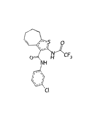 O=C(Nc1cccc(Cl)c1)c1c(NC(=O)C(F)(F)F)sc2c1C=CCCC2